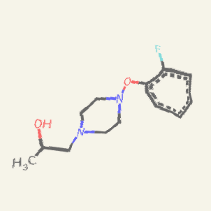 CC(O)CN1CCN(Oc2ccccc2F)CC1